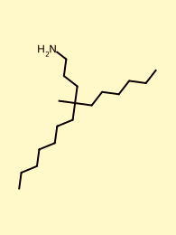 CCCCCCCC(C)(CCCN)CCCCCC